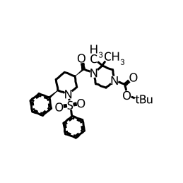 CC(C)(C)OC(=O)N1CCN(C(=O)[C@@H]2CC[C@H](c3ccccc3)N(S(=O)(=O)c3ccccc3)C2)C(C)(C)C1